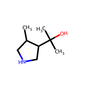 CC1CNCC1C(C)(C)O